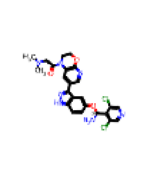 CN(C)CC(=O)N1CCOc2ncc(-c3n[nH]c4ccc(O[C@H](N)c5c(Cl)cncc5Cl)cc34)cc21